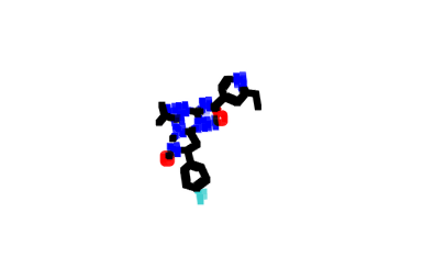 CCc1cc(C(=O)/N=C(/NCC(C)C)NC(CC(N=O)c2ccc(F)cc2)NC)ccn1